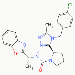 Cc1nnc([C@H]2CCCN2C(=O)N[C@H](C)c2nc3ccccc3o2)n1Cc1ccc(Cl)cc1